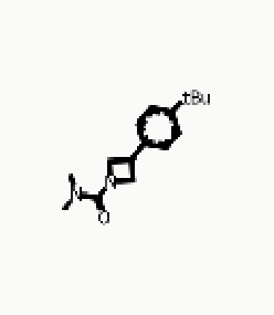 CN(C)C(=O)N1CC(c2ccc(C(C)(C)C)cc2)C1